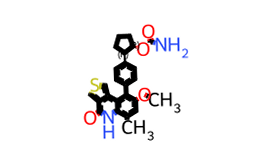 COc1cc(C)c2[nH]c(=O)c3cscc3c2c1-c1ccc([C@H]2CCC[C@H]2OC(N)=O)cc1